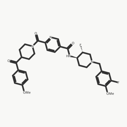 COc1ccc(C(=O)C2CCN(C(=O)c3ccc(C(=O)N[C@@H]4CCN(Cc5ccc(OC)c(F)c5)C[C@H]4F)cn3)CC2)cc1